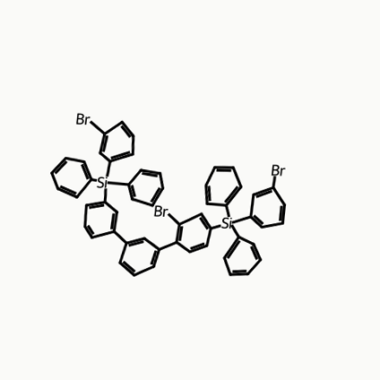 Brc1cccc([Si](c2ccccc2)(c2ccccc2)c2cccc(-c3cccc(-c4ccc([Si](c5ccccc5)(c5ccccc5)c5cccc(Br)c5)cc4Br)c3)c2)c1